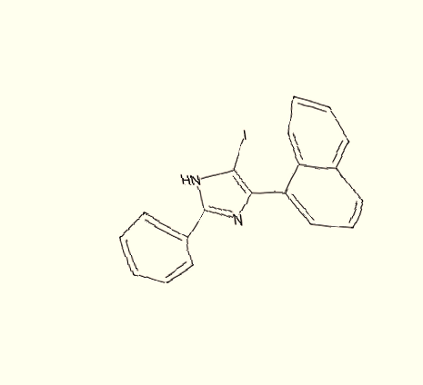 Ic1[nH]c(-c2ccccc2)nc1-c1cccc2ccccc12